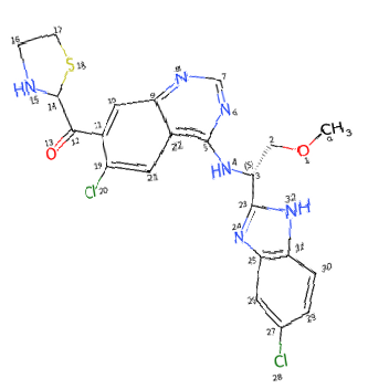 COC[C@@H](Nc1ncnc2cc(C(=O)C3NCCS3)c(Cl)cc12)c1nc2cc(Cl)ccc2[nH]1